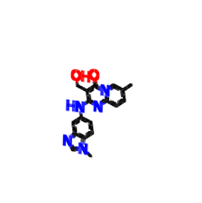 Cc1ccc2nc(Nc3ccc4c(c3)ncn4C)c(CO)c(=O)n2c1